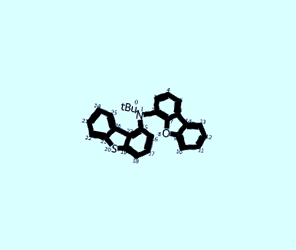 CC(C)(C)N(c1cccc2c1oc1ccccc12)c1cccc2sc3ccccc3c12